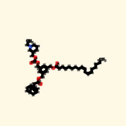 CCCCC/C=C\C/C=C\CCCCCCCC(=O)OCc1cc(COC(=O)CC23CC4CC(CC(C4)C2)C3)cc(COC(=O)OCC2CCCN(CC)C2)c1